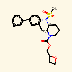 CS(=O)(=O)N[C@@H]1CCCN(C(=O)OCC2CCO2)[C@@H]1Cc1cccc(-c2ccccc2)c1